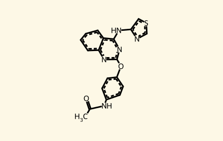 CC(=O)Nc1ccc(Oc2nc(Nc3cscn3)c3ccccc3n2)cc1